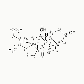 C[C@H](CCC(=O)O)[C@H]1CC[C@H]2[C@@H]3CCC4=CC(=O)CC[C@]4(C)[C@H]3C(O)C[C@]12C